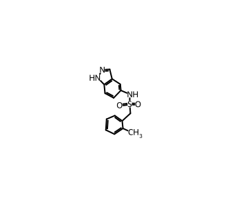 Cc1ccccc1CS(=O)(=O)Nc1ccc2[nH]ncc2c1